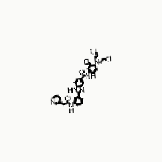 O=C(Cc1cccnc1)Nc1cccc(-c2nc3cc(C(=O)Nc4ccc(N(CCCl)CCCl)c(Cl)c4)ccc3[nH]2)c1